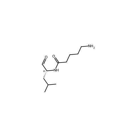 CC(C)C[C@H](C=O)NC(=O)CCCCN